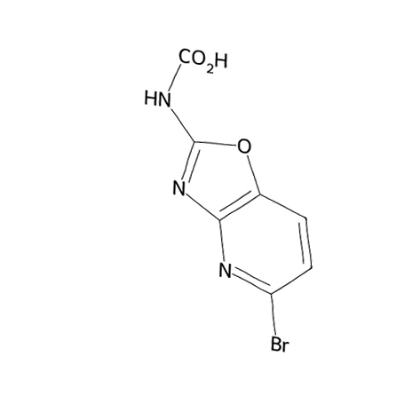 O=C(O)Nc1nc2nc(Br)ccc2o1